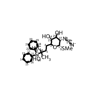 CS[C@@H]1OC(CCC(C)(C)[Si](O)(c2ccccc2)c2ccccc2)[C@@H](O)C(O)[C@@H]1N=[N+]=[N-]